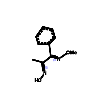 CO/N=C(/C(C)=N/O)c1ccccc1